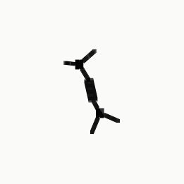 CN(C)C#CN(C)C